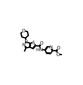 COC(=O)c1ccc(NC(=O)c2cc3c(C)nn(C4CCOCC4)c3s2)cn1